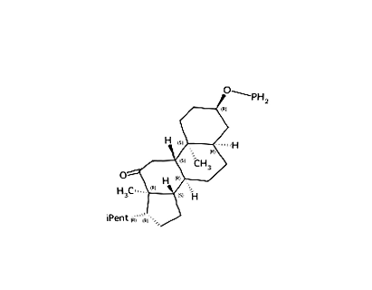 CCC[C@@H](C)[C@H]1CC[C@H]2[C@@H]3CC[C@@H]4C[C@H](OP)CC[C@]4(C)[C@H]3CC(=O)[C@]12C